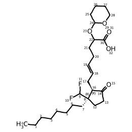 CCCCCCCC[C@@]1([C](F)F)CCC(=O)[C@@H]1CC=CCCC(OC1CCCCO1)C(=O)O